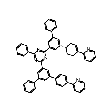 C1=C(c2ccccn2)CC[C@H](c2cc(-c3ccccc3)cc(-c3nc(-c4ccccc4)nc(-c4cc(-c5ccccc5)cc(-c5ccc(-c6ccccn6)cc5)c4)n3)c2)C1